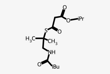 CCC(C)C(=O)NCC(C)(C)SC(=O)CC(=O)OC(C)C